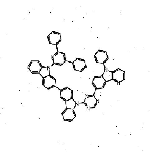 c1ccc(-c2cc(-c3ccccc3)nc(-n3c4ccccc4c4ccc(-c5ccc6c(c5)c5ccccc5n6-c5ncnc(-c6ccc7c(c6)c6ncccc6n7-c6ccccc6)n5)cc43)c2)cc1